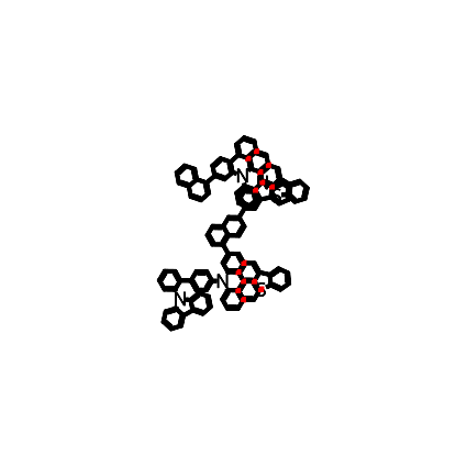 c1ccc(-c2ccc(-c3cccc4cc(-c5ccc6c(c5)c5ccccc5n6-c5ccccc5N(c5cc(-c6cccc7ccccc67)ccc5-c5ccccc5)c5ccccc5-c5cccc6c5sc5ccccc56)ccc34)cc2N(c2ccc(-c3ccccc3-n3c4ccccc4c4ccccc43)cc2)c2ccccc2-c2cccc3c2sc2ccccc23)cc1